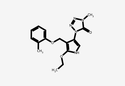 CCOc1[nH]cc(-n2nnn(C)c2=O)c1COc1ccccc1C